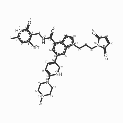 CCCc1cc(C)[nH]c(=O)c1CNC(=O)c1cc(C2=CC=C(N3CCN(C)CC3)NC2)cc2c1ccn2CCCN1C(=O)C=CC1=O